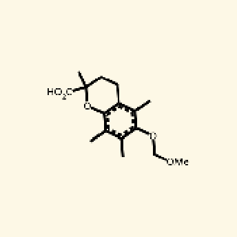 COCOc1c(C)c(C)c2c(c1C)CCC(C)(C(=O)O)O2